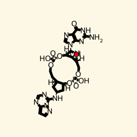 Nc1nc2c(ncn2[C@@H]2O[C@@H]3COP(=O)(O)O[C@H]4C[C@H](Nc5ncnc6ccnn56)C[C@@H]4CCOP(=O)(O)O[C@@H]2[C@@H]3O)c(=O)[nH]1